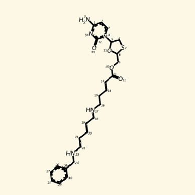 Nc1ccn(C2CSC(COC(=O)CCCCNCCCCCNCc3ccccc3)O2)c(=O)n1